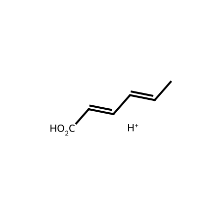 C/C=C/C=C/C(=O)O.[H+]